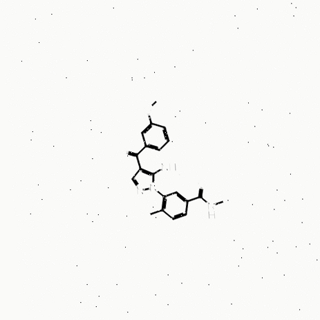 CNC(=O)c1ccc(C)c(-n2ncc(C(=O)c3cccc(OC)c3)c2N)c1